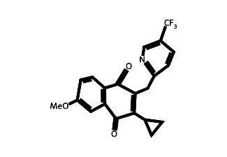 COc1ccc2c(c1)C(=O)C(C1CC1)=C(Cc1ccc(C(F)(F)F)cn1)C2=O